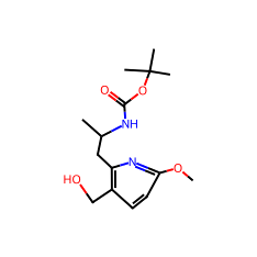 COc1ccc(CO)c(CC(C)NC(=O)OC(C)(C)C)n1